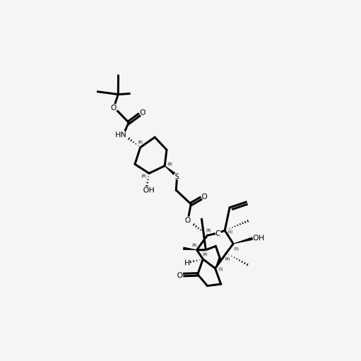 C=C[C@]1(C)C[C@@H](OC(=O)CS[C@@H]2CC[C@@H](NC(=O)OC(C)(C)C)C[C@H]2O)[C@]2(C)C(C)CC[C@]3(CCC(=O)[C@H]32)[C@@H](C)[C@@H]1O